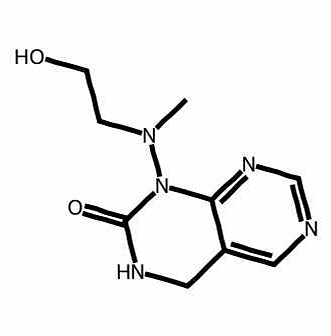 CN(CCO)N1C(=O)NCc2cncnc21